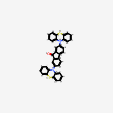 O=C1c2cc(N3c4ccccc4Sc4ccccc43)ccc2-c2ccc(N3c4ccccc4Sc4ccccc43)cc21